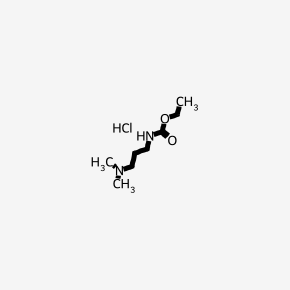 CCOC(=O)NCCCN(C)C.Cl